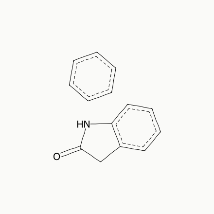 O=C1Cc2ccccc2N1.c1ccccc1